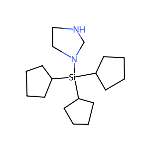 C1CCC([Si](C2CCCC2)(C2CCCC2)N2CCNC2)C1